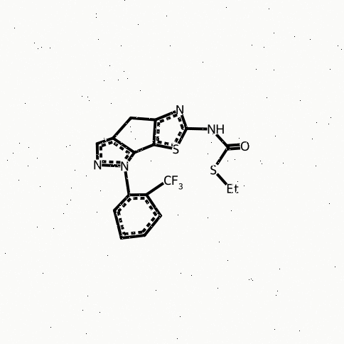 CCSC(=O)Nc1nc2c(s1)-c1c(cnn1-c1ccccc1C(F)(F)F)C2